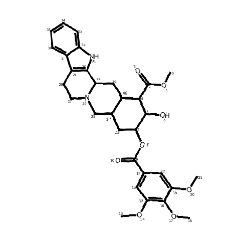 COC(=O)C1C(O)C(OC(=O)c2cc(OC)c(OC)c(OC)c2)CC2CN3CCc4c([nH]c5ccccc45)C3CC21